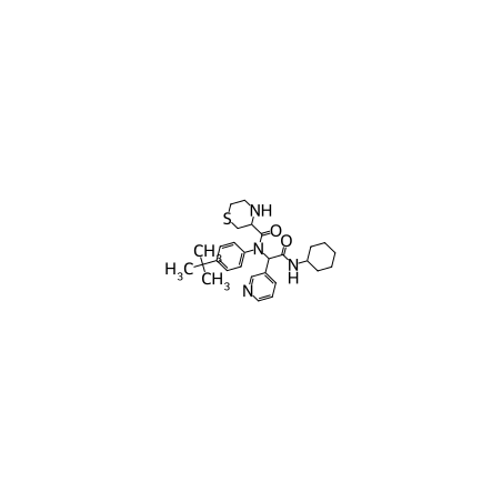 CC(C)(C)c1ccc(N(C(=O)C2CSCCN2)C(C(=O)NC2CCCCC2)c2cccnc2)cc1